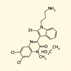 CC(=O)O.CCc1c(-c2nc3cc(Cl)c(Cl)cc3n(C)c2=O)c2ccccc2n1CCCN